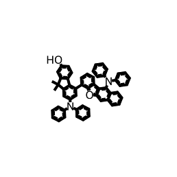 CC1(C)c2cc(O)ccc2-c2c(-c3cccc4c3oc3cc5ccccc5c(N(c5ccccc5)c5ccccc5)c34)cc(N(c3ccccc3)c3ccccc3)cc21